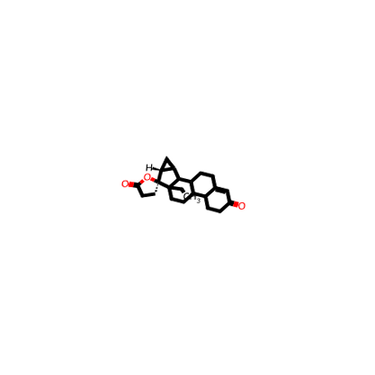 CCC12CCC3C4CCC(=O)C=C4CCC3C1C1C[C@H]1[C@@]21CCC(=O)O1